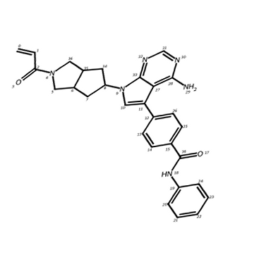 C=CC(=O)N1CC2CC(n3cc(-c4ccc(C(=O)Nc5ccccc5)cc4)c4c(N)ncnc43)CC2C1